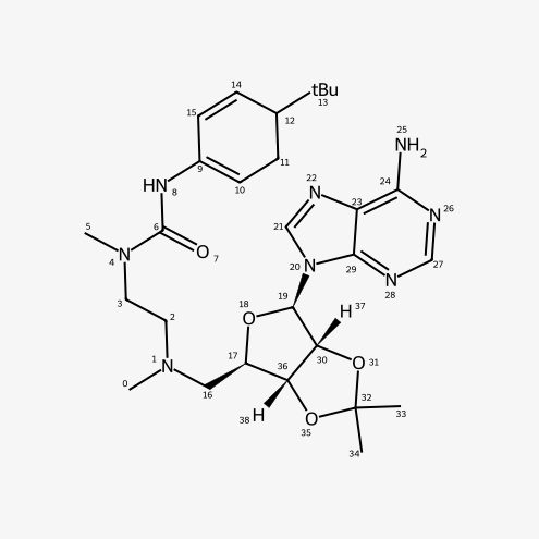 CN(CCN(C)C(=O)NC1=CCC(C(C)(C)C)C=C1)C[C@H]1O[C@@H](n2cnc3c(N)ncnc32)[C@@H]2OC(C)(C)O[C@@H]21